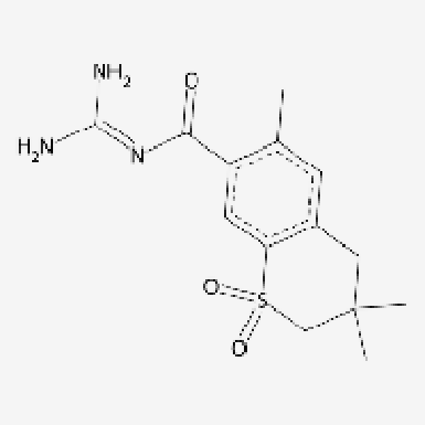 Cc1cc2c(cc1C(=O)N=C(N)N)S(=O)(=O)CC(C)(C)C2